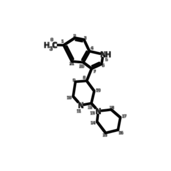 Cc1ccc2[nH]cc(C3CC[N]C(N4CCCCC4)C3)c2c1